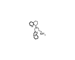 NCCCN(Cc1cn2ccccc2n1)C1CCCc2cccnc21